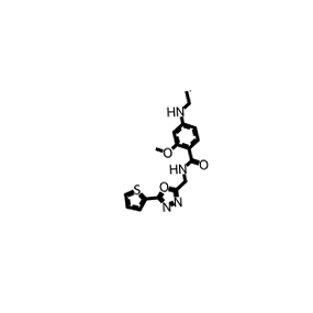 [CH2]CNc1ccc(C(=O)NCc2nnc(-c3cccs3)o2)c(OC)c1